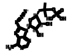 CC(C)(C[C@H]1O[C@@H](n2c(N=[N+]=[N-])nc3c(N)ncnc32)[C@H](O)[C@@H]1O)OP(=O)(O)O